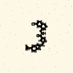 O=C(NCc1nccc2ccc(Cl)cc12)c1cnn(Cc2cn3cc(C4CC4)ccc3n2)c1